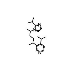 CC(C)c1ccncc1C(C)CCC(C)n1ccnc1C(C)C